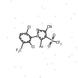 CC(=O)c1c(S(=O)(=O)C(F)(F)F)c(C#N)nn1-c1c(Cl)ccc(C(F)(F)F)c1Cl